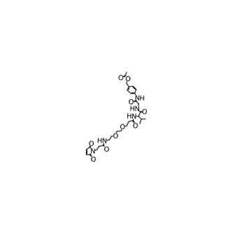 CC(=O)OCc1ccc(NC(=O)CNC(=O)C(NC(=O)CCOCCOCCNC(=O)CCN2C(=O)C=CC2=O)C(C)C)cc1